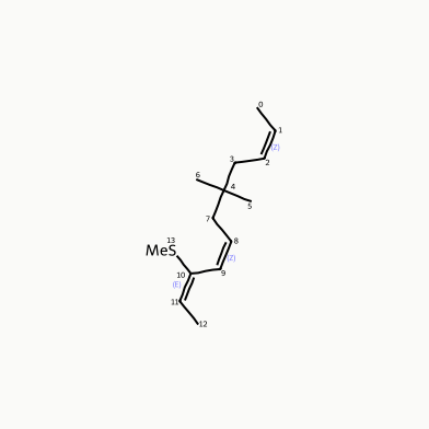 C/C=C\CC(C)(C)C/C=C\C(=C/C)SC